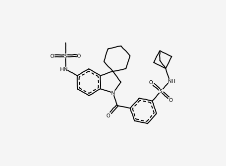 CS(=O)(=O)Nc1ccc2c(c1)C1(CCCCC1)CN2C(=O)c1cccc(S(=O)(=O)NC23CC(C2)C3)c1